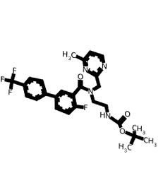 Cc1ccnc(CN(CCNC(=O)OC(C)(C)C)C(=O)c2cc(-c3ccc(C(F)(F)F)cc3)ccc2F)n1